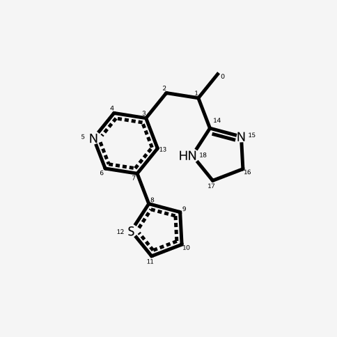 CC(Cc1cncc(-c2cccs2)c1)C1=NCCN1